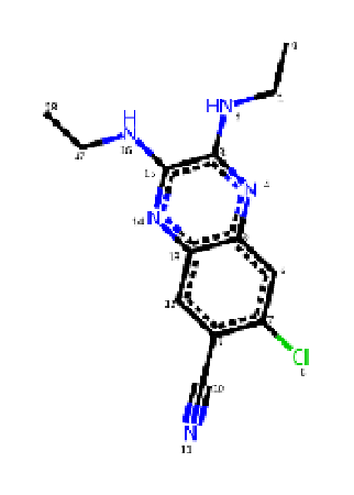 CCNc1nc2cc(Cl)c(C#N)cc2nc1NCC